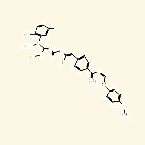 CCSC(NC(=O)N/C(F)=C/c1ccc(C(=N)/N=C\Nc2ccc(OC(F)(F)F)cc2)cc1)N(C=O)c1cc(C)ccc1C(C)C